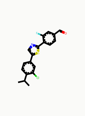 CC(C)c1ccc(-c2cnc(-c3ccc(C=O)cc3F)s2)cc1Cl